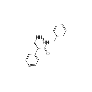 NC[C@@H](C(=O)NCc1ccccc1)c1ccncc1